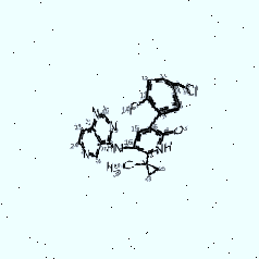 CC1(c2[nH]c(=O)c(-c3cc(Cl)ccc3F)cc2Nc2ncnc3ccncc23)CC1